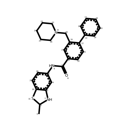 CC1Nc2cc(NC(=O)c3ccc(-c4ccccc4)c(CN4CCCCC4)c3)ccc2S1